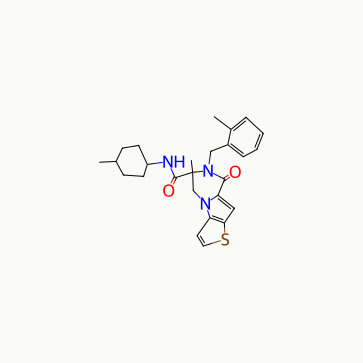 Cc1ccccc1CN1C(=O)c2cc3sccc3n2CC1(C)C(=O)NC1CCC(C)CC1